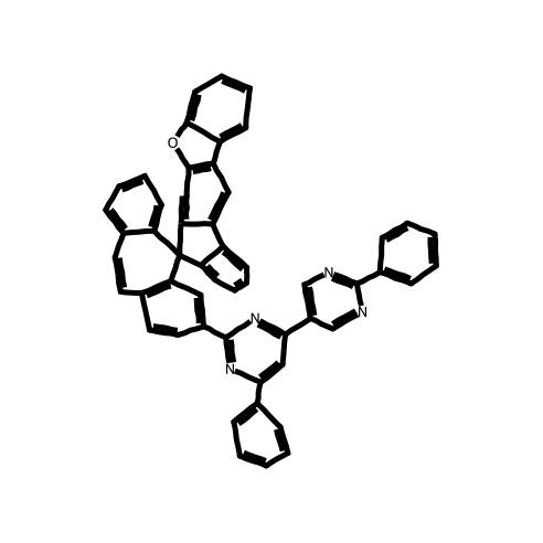 C1=Cc2ccc(-c3nc(-c4ccccc4)cc(-c4cnc(-c5ccccc5)nc4)n3)cc2C2(c3ccccc31)c1ccccc1-c1cc3c(cc12)oc1ccccc13